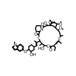 CCC1/C=C(\C)CC(C)CC(OC)C2CC(O)(C(=O)C(=O)N3CCCCC3C(=O)CC(C(C)=CC3CCC(Oc4ccc5c(ccn5C)c4)C(O)C3)C(C)C(O)CC1=O)C(C)CC2OC